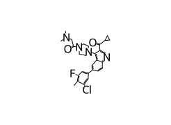 Cc1c(F)cc(-c2ccc3ncc(C(=O)C4CC4)c(N4CCN(C(=O)CN(C)C)CC4)c3c2)cc1Cl